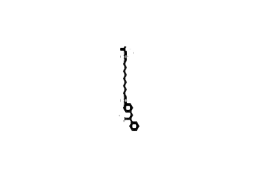 C=C(C)C(=O)OCCCCCCCCCCCOc1ccc(C=C(C#N)c2ccccc2)cc1